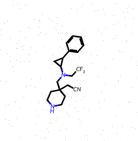 N#CCC1(CN(CC(F)(F)F)C2CC2c2ccccc2)CCNCC1